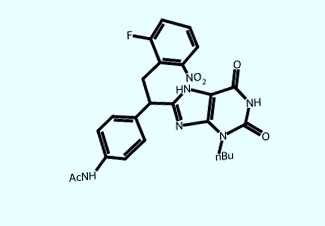 CCCCn1c(=O)[nH]c(=O)c2[nH]c(C(Cc3c(F)cccc3[N+](=O)[O-])c3ccc(NC(C)=O)cc3)nc21